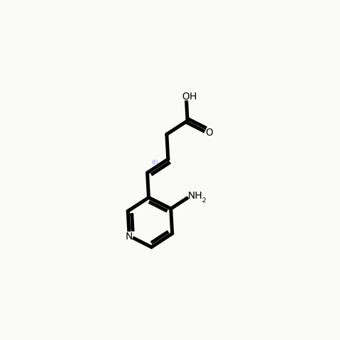 Nc1ccncc1/C=C/CC(=O)O